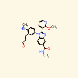 CNC(=O)c1ccc2c(c1)nc(-c1cccnc1OC)n2-c1ccc(NC)c(CCC=O)c1